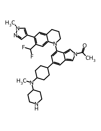 CC(=O)n1cc2cc(C3CCC(N(C)C4CCNCC4)CC3)cc(N3CCCc4cc(-c5cnn(C)c5)c(C(F)F)cc43)c2c1